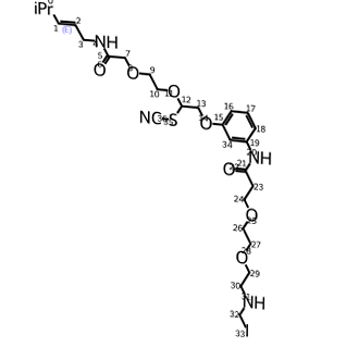 CC(C)/C=C/CNC(=O)COCCOC(COc1cccc(NC(=O)CCOCCOCCNCI)c1)SC#N